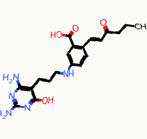 CCCC(=O)/C=C/c1ccc(NCCCc2c(N)nc(N)nc2O)cc1C(=O)O